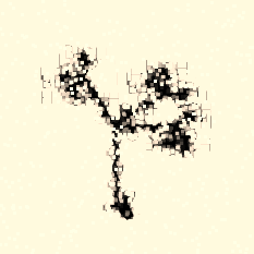 CC(C)(Br)C(=O)OCC(COCC(=O)NCCC(=O)NCC(CNC(=O)CCNC(=O)COCC(COC(=O)C(C)(C)Br)(COC(=O)C(C)(C)Br)COC(=O)C(C)(C)Br)(CNC(=O)CCNC(=O)COCC(COC(=O)C(C)(C)Br)(COC(=O)C(C)(C)Br)COC(=O)C(C)(C)Br)COCCOCCOCCOCCN1C(=O)C2C3C=CC(O3)C2C1=O)(COC(=O)C(C)(C)Br)COC(=O)C(C)(C)Br